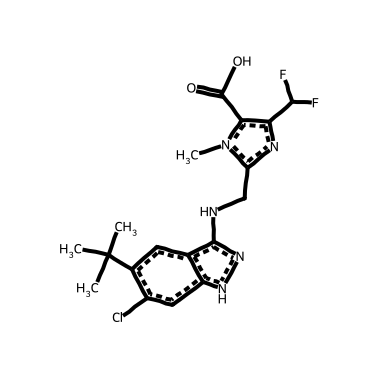 Cn1c(CNc2n[nH]c3cc(Cl)c(C(C)(C)C)cc23)nc(C(F)F)c1C(=O)O